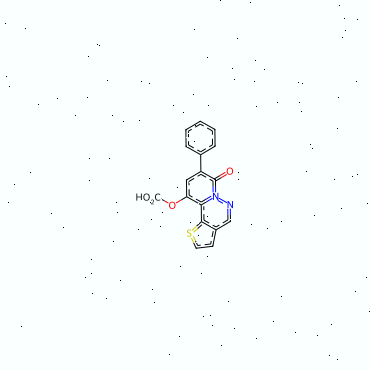 O=C(O)Oc1cc(-c2ccccc2)c(=O)n2ncc3ccsc3c12